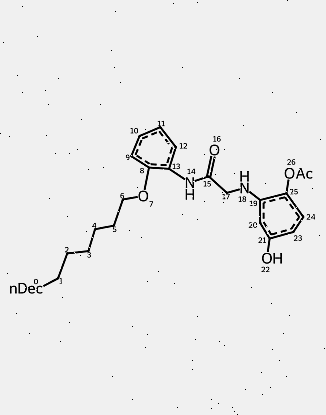 CCCCCCCCCCCCCCCCOc1ccccc1NC(=O)CNc1cc(O)ccc1OC(C)=O